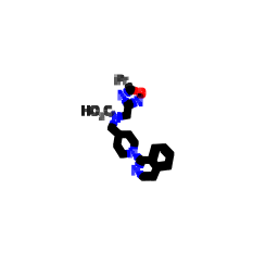 CC(C)c1nc(CN(CC2CCN(c3nccc4ccccc34)CC2)C(=O)O)no1